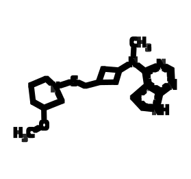 COC1CCCN(SCC2CC(N(C)c3ncnc4[nH]ccc34)C2)C1